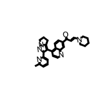 Cc1cccc(-c2nn3c(c2-c2ccnc4cc(C(=O)C=CN5CCCCC5)ccc24)CCC3)n1